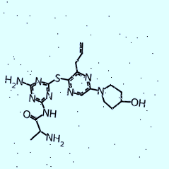 C=CCc1nc(N2CCC(O)CC2)cnc1Sc1nc(N)nc(NC(=O)C(C)N)n1